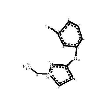 Fc1cccc(Oc2ncn(CC(F)(F)F)n2)c1